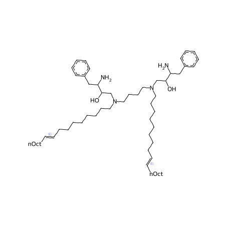 CCCCCCCC/C=C/CCCCCCCCN(CCCCN(CCCCCCCC/C=C/CCCCCCCC)CC(O)C(N)Cc1ccccc1)CC(O)C(N)Cc1ccccc1